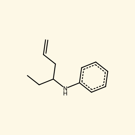 C=CCC(CC)Nc1ccccc1